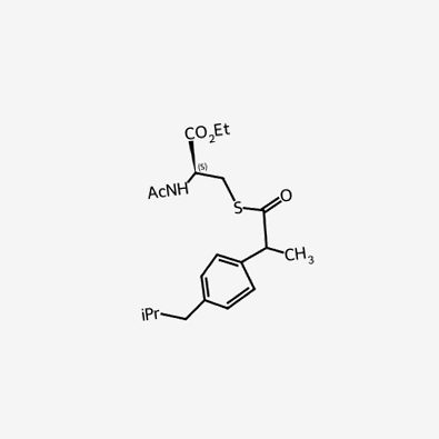 CCOC(=O)[C@@H](CSC(=O)C(C)c1ccc(CC(C)C)cc1)NC(C)=O